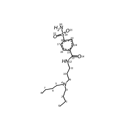 CCCCN(CCCC)CCCNC(=O)c1ccc(S(N)(=O)=O)cc1